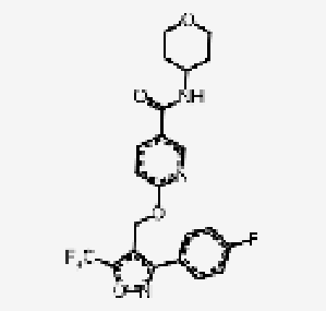 O=C(NC1CCOCC1)c1ccc(OCc2c(-c3ccc(F)cc3)noc2C(F)(F)F)nc1